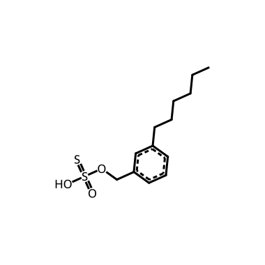 CCCCCCc1cccc(COS(=O)(O)=S)c1